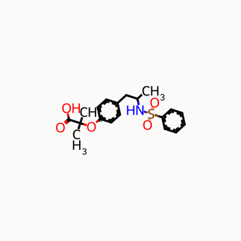 CC(Cc1ccc(OC(C)(C)C(=O)O)cc1)NS(=O)(=O)c1ccccc1